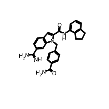 N=C(N)c1ccc2cc(C(=O)Nc3cccc4c3CCC4)n(Cc3ccc(C(N)=O)cc3)c2c1